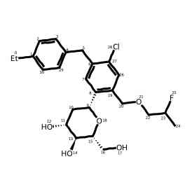 CCc1ccc(Cc2cc([C@H]3C[C@@H](O)[C@H](O)[C@@H](CO)O3)c(COCC(C)F)cc2Cl)cc1